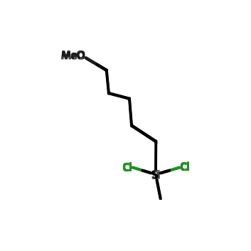 COCCCCC[Si](C)(Cl)Cl